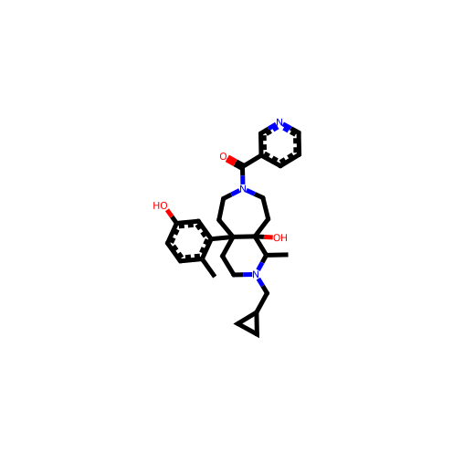 Cc1ccc(O)cc1C12CCN(C(=O)c3cccnc3)CCC1(O)C(C)N(CC1CC1)CC2